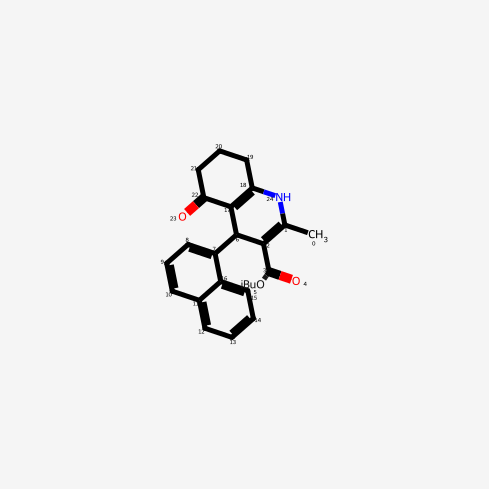 CC1=C(C(=O)OCC(C)C)C(c2cccc3ccccc23)C2=C(CCCC2=O)N1